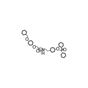 O=P(COc1ccc(CCNC[C@H](O)COc2ccc(OCc3ccccc3)cc2)cc1)(c1ccccc1)c1ccccc1